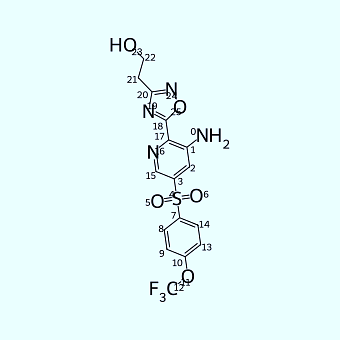 Nc1cc(S(=O)(=O)c2ccc(OC(F)(F)F)cc2)cnc1-c1nc(CCO)no1